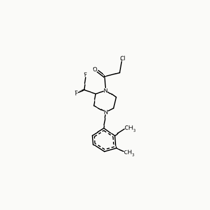 Cc1cccc(N2CCN(C(=O)CCl)C(C(F)F)C2)c1C